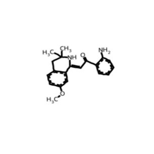 COc1ccc2c(c1)/C(=C/C(=O)c1ccccc1N)NC(C)(C)C2